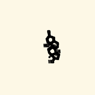 C[C@]12CC=C3[C@@H](CCC4=CC(=O)C=CC43O)[C@@H]1CCC2O